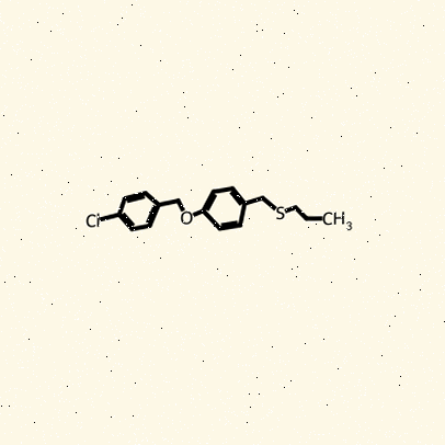 CCCSCc1ccc(OCc2ccc(Cl)cc2)cc1